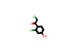 O=C(CCl)c1ccc(O)cc1Cl